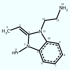 C/C=C1\N(CCC)c2ccccc2N1CCN